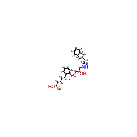 C[C@@H](OC[C@@H](O)CNC(C)(C)CC1Cc2ccccc2C1)c1ccccc1CCCCC(=O)O